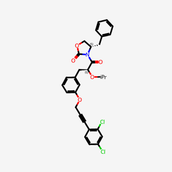 CC(C)O[C@@H](Cc1cccc(OCC#Cc2ccc(Cl)cc2Cl)c1)C(=O)N1C(=O)OC[C@@H]1Cc1ccccc1